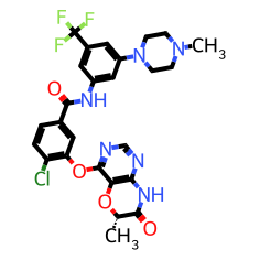 C[C@@H]1Oc2c(ncnc2Oc2cc(C(=O)Nc3cc(N4CCN(C)CC4)cc(C(F)(F)F)c3)ccc2Cl)NC1=O